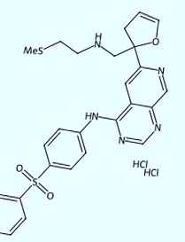 CSCCNCC1(c2cc3c(Nc4ccc(S(=O)(=O)c5ccccc5)cc4)ncnc3cn2)CC=CO1.Cl.Cl